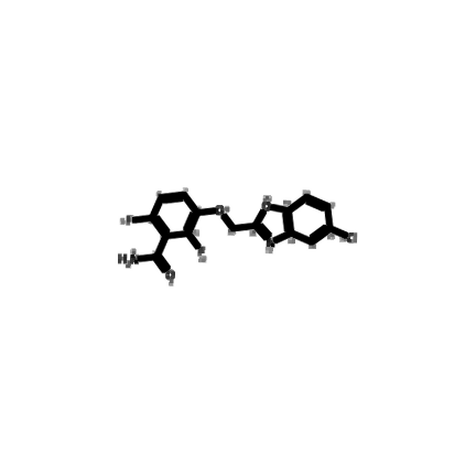 NC(=O)c1c(F)ccc(OCc2nc3cc(Cl)ccc3o2)c1F